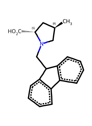 C[C@@H]1C[C@@H](C(=O)O)N(CC2c3ccccc3-c3ccccc32)C1